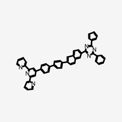 c1ccc(-c2nc(-c3ccccc3)nc(-c3ccc4cc(-c5ccc(-c6ccc(-c7cc(-c8ccccn8)nc(-c8ccccn8)c7)cc6)cc5)ccc4c3)n2)cc1